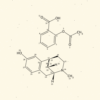 CC(=O)Oc1ccccc1C(=O)O.CN1CC[C@]23CCCC[C@H]2[C@H]1Cc1ccc(O)cc13